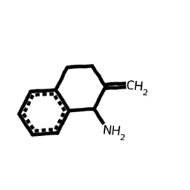 C=C1CCc2ccccc2C1N